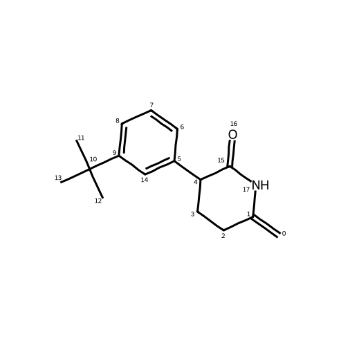 C=C1CCC(c2cccc(C(C)(C)C)c2)C(=O)N1